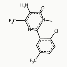 Cn1c(-c2cc(C(F)(F)F)ccc2Cl)nc(C(F)(F)F)c(N)c1=O